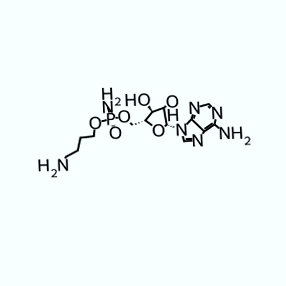 NCCCCOP(N)(=O)OC[C@H]1O[C@@H](n2cnc3c(N)ncnc32)[C@H](O)[C@@H]1O